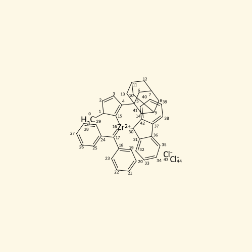 CC1C=CC(C23CC4CC(CC(C4)C2)C3)=[C]1[Zr+2](=[C](c1ccccc1)c1ccccc1)[CH]1c2ccccc2-c2ccccc21.[Cl-].[Cl-]